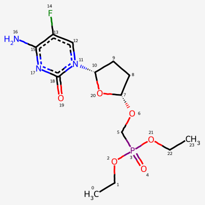 CCOP(=O)(CO[C@H]1CC[C@@H](n2cc(F)c(N)nc2=O)O1)OCC